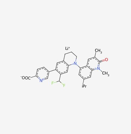 Cc1cc2c(N3CCCc4cc(-c5ccc(C(=O)[O-])nc5)c(C(F)F)cc43)cc(C(C)C)cc2n(C)c1=O.[Li+]